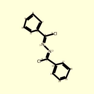 ClC(=NN=C(Cl)c1ccccc1)c1ccccc1